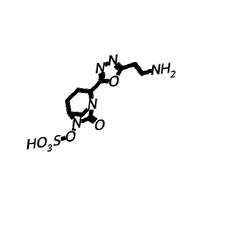 NCCc1nnc(C2CCC3CN2C(=O)N3OS(=O)(=O)O)o1